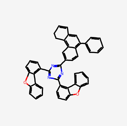 C1=Cc2cc(-c3ccccc3)c3ccc(-c4nc(-c5cccc6oc7ccccc7c56)nc(-c5cccc6oc7ccccc7c56)n4)cc3c2CC1